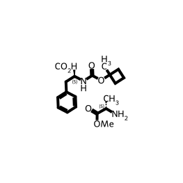 CC1(OC(=O)N[C@@H](Cc2ccccc2)C(=O)O)CCC1.COC(=O)[C@H](C)N